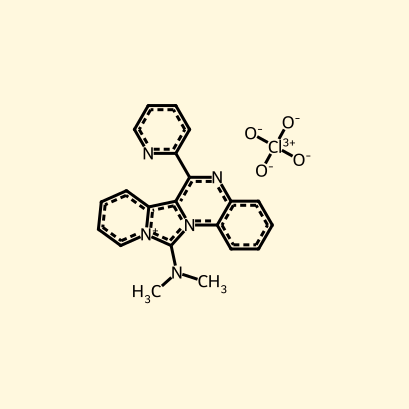 CN(C)c1n2c3ccccc3nc(-c3ccccn3)c2c2cccc[n+]12.[O-][Cl+3]([O-])([O-])[O-]